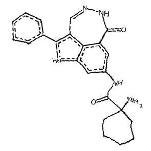 NC1(C(=O)Nc2cc3c4c(c(-c5ccccc5)[nH]c4c2)C=NNC3=O)CCCCC1